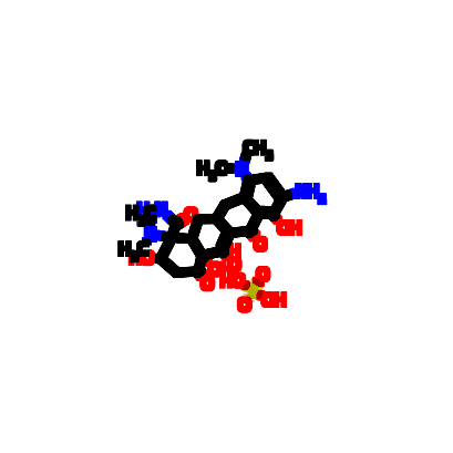 CN(C)c1cc(N)c(O)c2c1CC1CC3C(O)(C(=O)CC(O)C3(C(N)=O)N(C)C)C(O)=C1C2=O.O=S(=O)(O)O